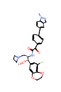 Cn1ncc2cc(-c3ccc(C(=O)C(=O)N[C@H](CN4CCC4)[C@H](O)c4cc(F)c5c(c4)OCCO5)cc3)ccc21